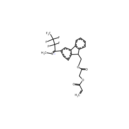 C=CC(=O)OCC(=O)OCC1c2ccccc2-c2cc(/C(=N/C)C(F)(F)C(F)(F)C(F)(F)F)ccc21